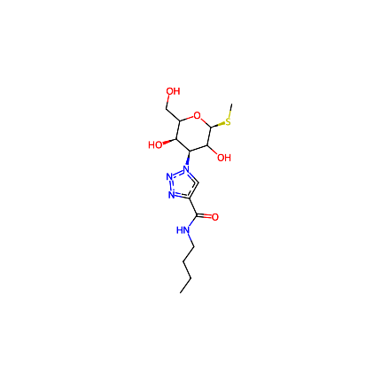 CCCCNC(=O)c1cn([C@@H]2C(O)[C@H](SC)OC(CO)[C@@H]2O)nn1